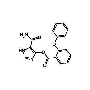 NC(=O)c1[nH]cnc1OC(=O)c1ccccc1Oc1ccccc1